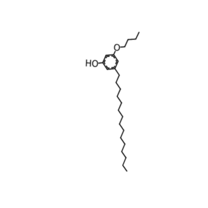 CCCCCCCCCCCCCCCc1cc(O)cc(OCCCC)c1